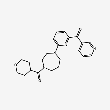 O=C(c1cccnc1)c1cccc(N2CCCN(C(=O)C3CCOCC3)CC2)n1